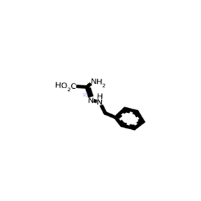 N/C(=N\NCc1ccccc1)C(=O)O